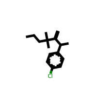 C=C(C(C)c1ccc(Cl)cc1)C(C)(C)CCC